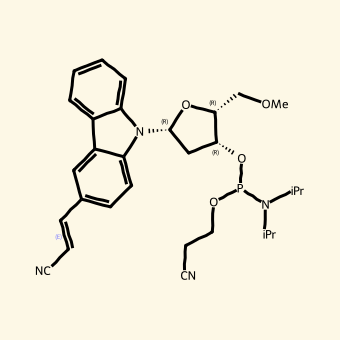 COC[C@H]1O[C@@H](n2c3ccccc3c3cc(/C=C/C#N)ccc32)C[C@H]1OP(OCCC#N)N(C(C)C)C(C)C